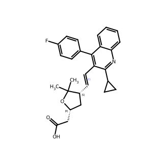 CC1(C)O[C@@H](CC(=O)O)C[C@H]1/C=C/c1c(C2CC2)nc2ccccc2c1-c1ccc(F)cc1